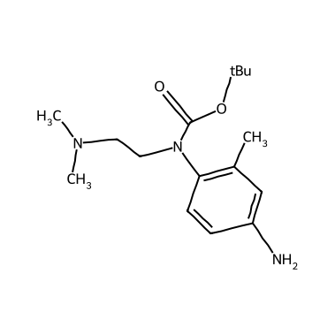 Cc1cc(N)ccc1N(CCN(C)C)C(=O)OC(C)(C)C